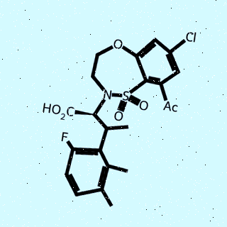 CC(=O)c1cc(Cl)cc2c1S(=O)(=O)N([C@H](C(=O)O)C(C)c1c(F)ccc(C)c1C)CCO2